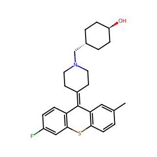 Cc1ccc2c(c1)C(=C1CCN(C[C@H]3CC[C@H](O)CC3)CC1)c1ccc(F)cc1S2